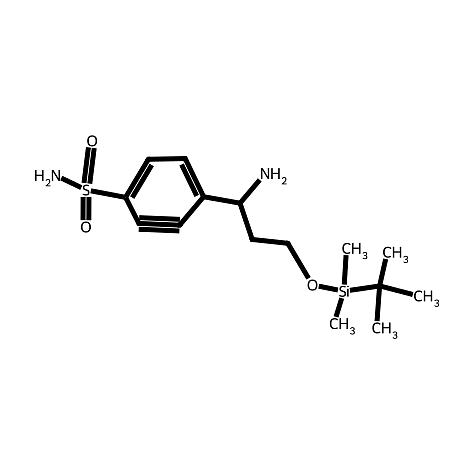 CC(C)(C)[Si](C)(C)OCCC(N)c1c#cc(S(N)(=O)=O)cc1